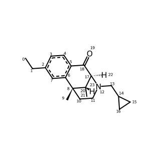 CCc1ccc2c(c1)[C@@]1(C)CCN(CC3CC3)[C@H](C2=O)[C@@H]1C